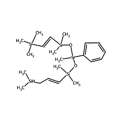 C[SiH](C)CC=C[Si](C)(C)O[Si](C)(O[Si](C)(C)C=C[Si](C)(C)C)c1ccccc1